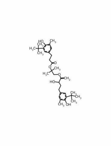 C=C(OCC(C)(C)OC(=O)CCc1cc(C)c(O)c(C(C)(C)C)c1)C(O)CCc1cc(C)c(O)c(C(C)(C)C)c1